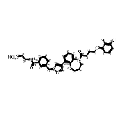 Cc1c(Cl)cccc1OCCCC(=O)N1CCCSc2c(-c3cnn(Cc4cccc(C(=O)NCCS(=O)(=O)O)c4)c3)cccc21